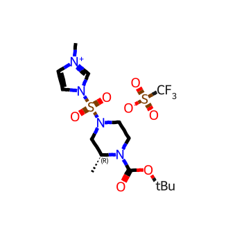 C[C@@H]1CN(S(=O)(=O)n2cc[n+](C)c2)CCN1C(=O)OC(C)(C)C.O=S(=O)([O-])C(F)(F)F